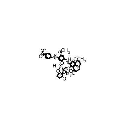 COc1cc(N=Nc2cc3c4c(c2OCC(=O)ON2C(=O)CCC2=O)C(C)(C)CCN4CCC3(C)C)c(OC)cc1N=Nc1ccc([N+](=O)[O-])cc1